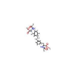 COC(=O)[C@H](Cc1cccc(CCc2cccc(C[C@@H](NC(C)=O)C(=O)OC)c2)c1)NC(C)=O